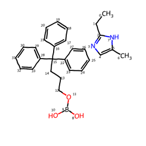 CCc1ncc(C)[nH]1.OB(O)OCCCC(c1ccccc1)(c1ccccc1)c1ccccc1